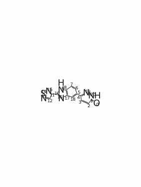 O=c1ccc(-c2ccc3[nH]c(-c4cnsn4)nc3c2)n[nH]1